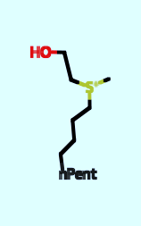 CCCCCCCCC[S+](C)CCO